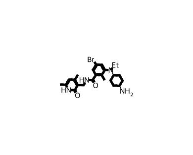 CCN(c1cc(Br)cc(C(=O)NCc2c(C)cc(C)[nH]c2=O)c1C)[C@H]1CC[C@@H](N)CC1